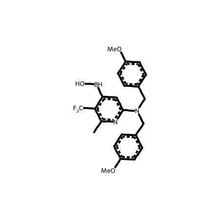 COc1ccc(CN(Cc2ccc(OC)cc2)c2cc(BO)c(C(F)(F)F)c(C)n2)cc1